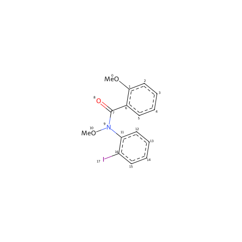 COc1ccccc1C(=O)N(OC)c1ccccc1I